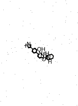 Cn1cc(-c2ccc(-c3ccc(O[C@H]4C[C@H]5CCC[C@H](N5)[C@H]4F)nn3)c(O)c2)cn1